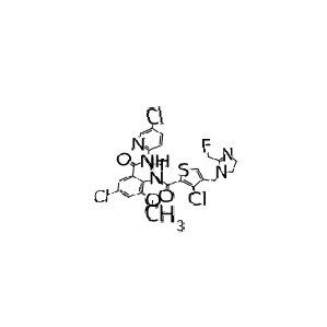 COc1cc(Cl)cc(C(=O)Nc2ccc(Cl)cn2)c1NC(=O)c1scc(CN2CCN=C2CF)c1Cl